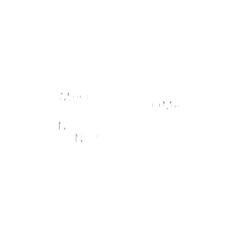 COc1ccc(N=[N])c(OC)c1